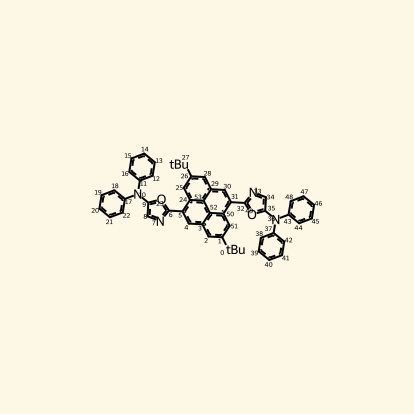 CC(C)(C)c1cc2cc(-c3ncc(N(c4ccccc4)c4ccccc4)o3)c3cc(C(C)(C)C)cc4cc(-c5ncc(N(c6ccccc6)c6ccccc6)o5)c(c1)c2c43